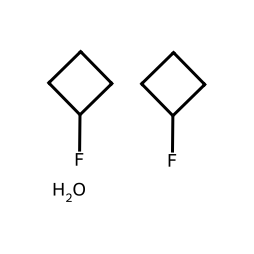 FC1CCC1.FC1CCC1.O